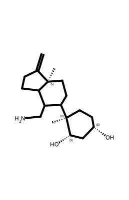 C=C1CCC2C(CN)C([C@@]3(C)CC[C@H](O)C[C@@H]3O)CC[C@]12C